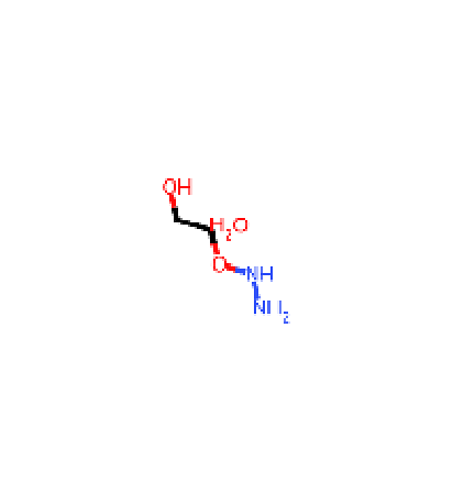 NNOCCO.O